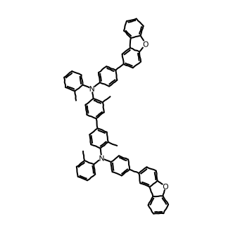 Cc1ccccc1N(c1ccc(-c2ccc3oc4ccccc4c3c2)cc1)c1ccc(-c2ccc(N(c3ccc(-c4ccc5oc6ccccc6c5c4)cc3)c3ccccc3C)c(C)c2)cc1C